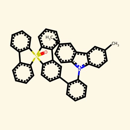 Cc1ccc2c(c1)c1cc(C)ccc1n2-c1ccccc1-c1ccc2c(c1)-c1ccccc1S21(=O)c2ccccc2-c2ccccc21